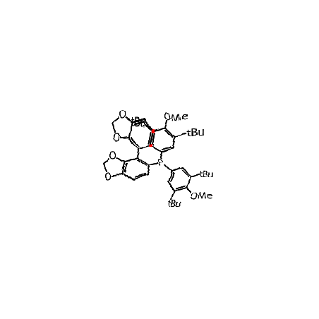 COc1c(C(C)(C)C)cc(P(c2cc(C(C)(C)C)c(OC)c(C(C)(C)C)c2)c2ccc3c(c2-c2[c]ccc4c2OCO4)OCO3)cc1C(C)(C)C